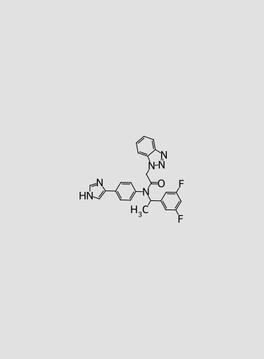 CC(c1cc(F)cc(F)c1)N(C(=O)Cn1nnc2ccccc21)c1ccc(-c2c[nH]cn2)cc1